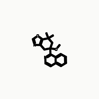 COC1(c2nccc3ccccc23)Cc2ncoc2C(C)(C)C1